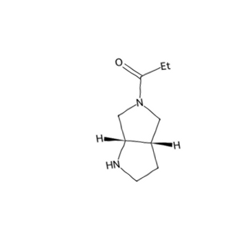 CCC(=O)N1C[C@@H]2CCN[C@@H]2C1